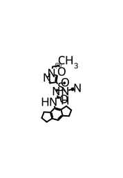 C[C@@H]1Cn2ncc(S(=O)(=NC(=O)Nc3c4c(cc5c3CCC5)CCC4)NC#N)c2O1